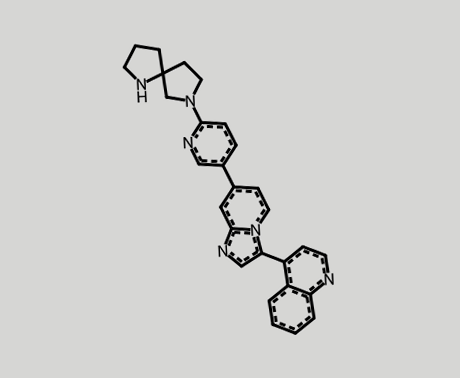 c1ccc2c(-c3cnc4cc(-c5ccc(N6CCC7(CCCN7)C6)nc5)ccn34)ccnc2c1